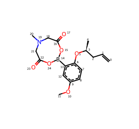 C=CC[C@H](C)Oc1ccc(OC)cc1B1OC(=O)CN(C)CC(=O)O1